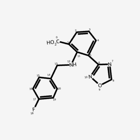 O=C(O)c1cccc(-c2ncon2)c1NCc1ccc(F)cc1